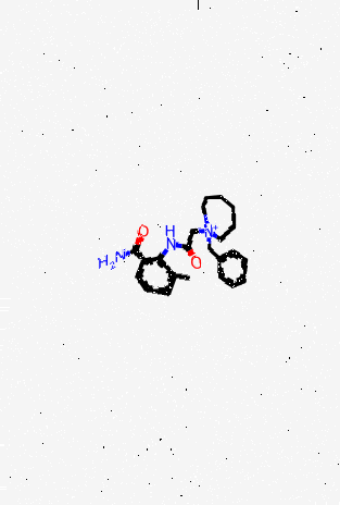 Cc1cccc(C(N)=O)c1NC(=O)C[N+]1(Cc2ccccc2)CCCCCC1